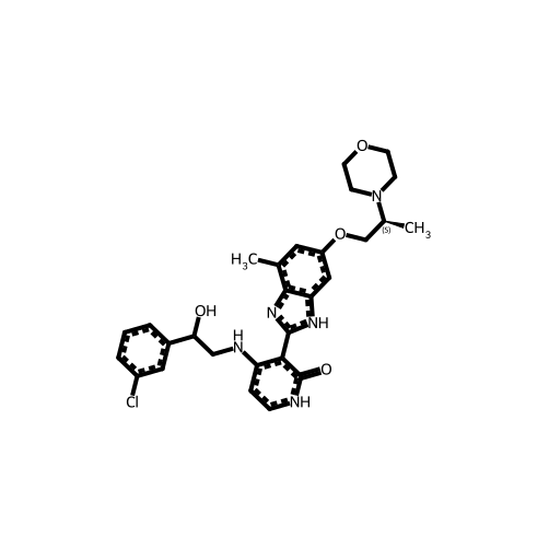 Cc1cc(OC[C@H](C)N2CCOCC2)cc2[nH]c(-c3c(NCC(O)c4cccc(Cl)c4)cc[nH]c3=O)nc12